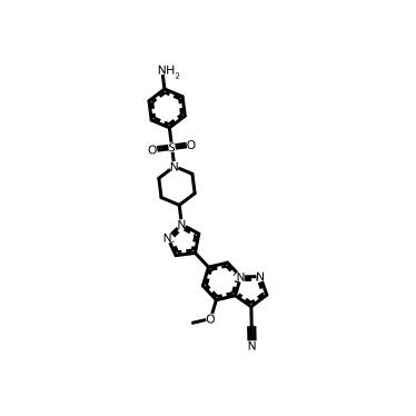 COc1cc(-c2cnn(C3CCN(S(=O)(=O)c4ccc(N)cc4)CC3)c2)cn2ncc(C#N)c12